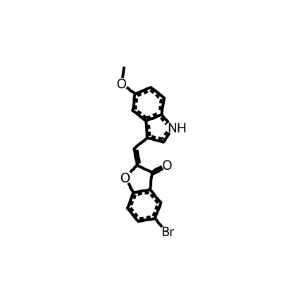 COc1ccc2[nH]cc(C=C3Oc4ccc(Br)cc4C3=O)c2c1